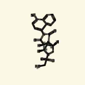 N#Cc1ccc(N2C(=O)[C@H]3[C@@H]4C[C@@H](CN4S(=O)(=O)CC(F)(F)F)N3C2=O)c2ccccc12